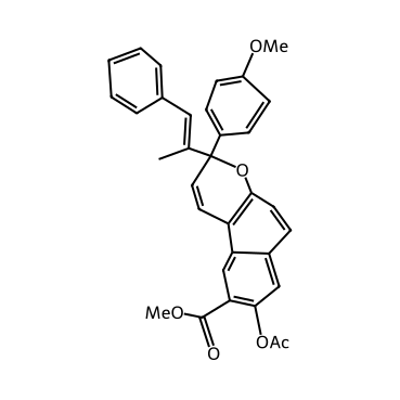 COC(=O)c1cc2c3c(ccc2cc1OC(C)=O)OC(/C(C)=C/c1ccccc1)(c1ccc(OC)cc1)C=C3